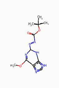 COC1=NC(N=NC(=O)OC(C)(C)C)Nc2[nH]cnc21